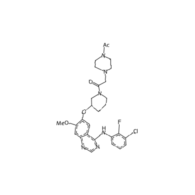 COc1cc2ncnc(Nc3cccc(Cl)c3F)c2cc1OC1CCCN(C(=O)CN2CCN(C(C)=O)CC2)C1